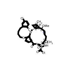 CCC(=O)N1N[C@@H]2[C@@H](C)C/C=C/[C@H](OC)[C@H]3[C@@]4(CN5Cc6ccc(Cl)cc6CCCCOc6ccc(cc65)C(=O)N=[S@]21=O)C[C@@]34C